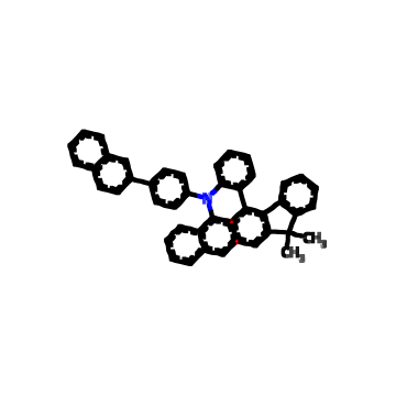 CC1(C)c2ccccc2-c2c(-c3ccccc3N(c3ccc(-c4ccc5ccccc5c4)cc3)c3cccc4ccccc34)cccc21